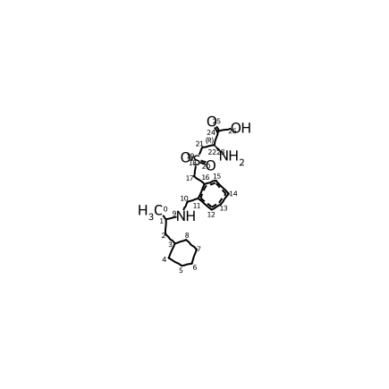 CC(CC1CCCCC1)NCc1ccccc1CS(=O)(=O)C[C@H](N)C(=O)O